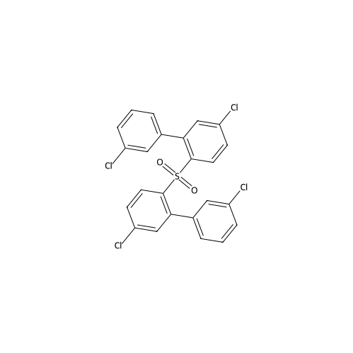 O=S(=O)(c1ccc(Cl)cc1-c1cccc(Cl)c1)c1ccc(Cl)cc1-c1cccc(Cl)c1